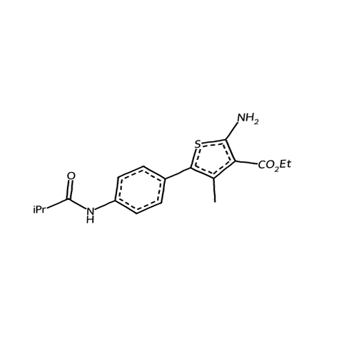 CCOC(=O)c1c(N)sc(-c2ccc(NC(=O)C(C)C)cc2)c1C